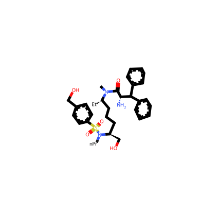 CCCN([C@H](CO)CCC[C@H](CC)N(C)C(=O)[C@@H](N)C(c1ccccc1)c1ccccc1)S(=O)(=O)c1ccc(CO)cc1